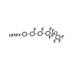 CCCCCCc1ccc(-c2ccc(-c3ccc(-c4cc(F)c(C(F)(F)Oc5cc(F)c(F)c(F)c5)c(F)c4)c(F)c3)c(F)c2)cc1